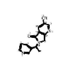 CC(c1cccnc1)N1Cc2ncc(C#N)cc2C1=O